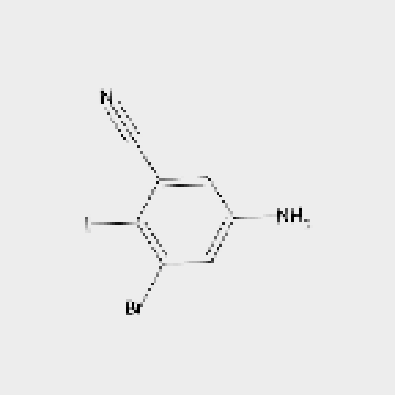 N#Cc1cc(N)cc(Br)c1I